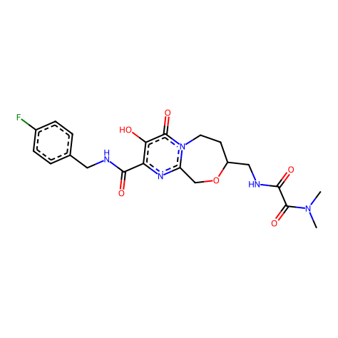 CN(C)C(=O)C(=O)NCC1CCn2c(nc(C(=O)NCc3ccc(F)cc3)c(O)c2=O)CO1